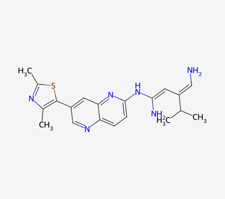 Cc1nc(C)c(-c2cnc3ccc(N/C(N)=C/C(=C\N)C(C)C)nc3c2)s1